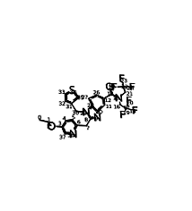 CCOc1ccc(Cc2nc3cc(C(=O)N(CC(F)(F)F)CC(F)(F)F)ccc3n2Cc2ccsc2)nc1